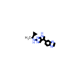 C[C@@H](Nc1ncc2c(-c3ccc4nccnc4c3)c[nH]c2n1)C1CC1